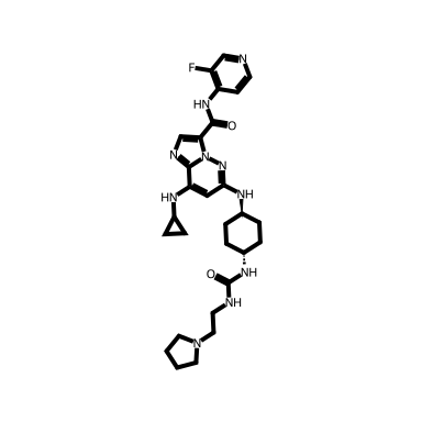 O=C(NCCN1CCCC1)N[C@H]1CC[C@H](Nc2cc(NC3CC3)c3ncc(C(=O)Nc4ccncc4F)n3n2)CC1